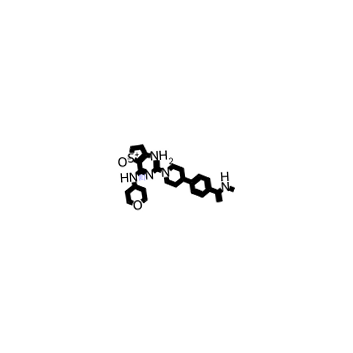 C=C(NC)c1ccc(C2CCN(C(=C)/N=C(/NC3CCOCC3)C3=C(N)CC[S+]3[O-])CC2)cc1